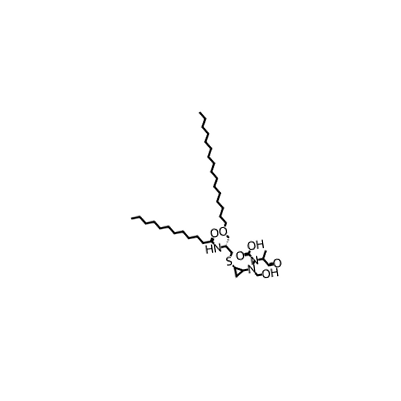 CCCCCCCCCCCCCCCCOC[C@H](CS[C@@H]1CC1N(CO)N(C(=O)O)C(C)C=O)NC(=O)CCCCCCCCCCC